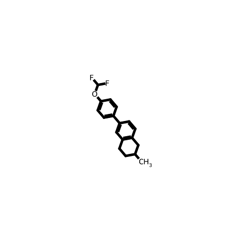 CC1CCc2cc(-c3ccc(OC(F)F)cc3)ccc2C1